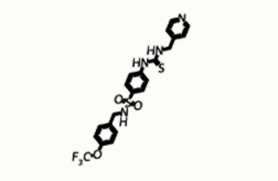 O=S(=O)(NCc1ccc(OC(F)(F)F)cc1)c1ccc(NC(=S)NCc2ccncc2)cc1